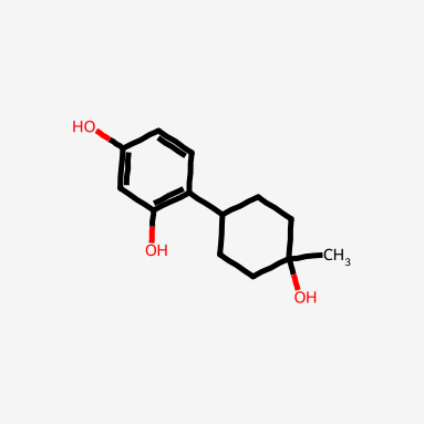 CC1(O)CCC(c2ccc(O)cc2O)CC1